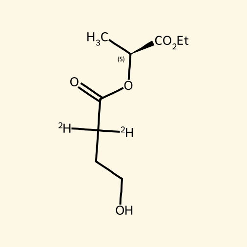 [2H]C([2H])(CCO)C(=O)O[C@@H](C)C(=O)OCC